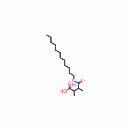 CCCCCCCCCCCCNC(=O)C(C)C(C)C(=O)O